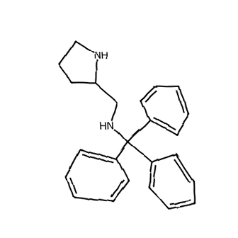 c1ccc(C(NCC2CCCN2)(c2ccccc2)c2ccccc2)cc1